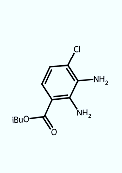 CC(C)COC(=O)c1ccc(Cl)c(N)c1N